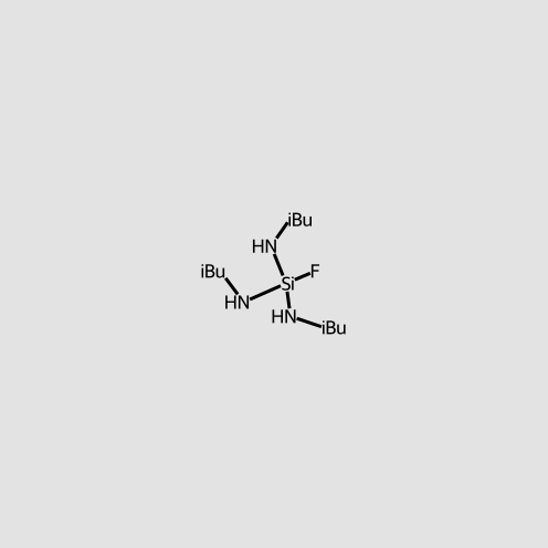 CCC(C)N[Si](F)(NC(C)CC)NC(C)CC